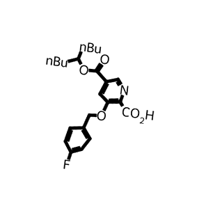 CCCCC(CCCC)OC(=O)c1cnc(C(=O)O)c(OCc2ccc(F)cc2)c1